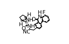 N#CC(Cc1ccc2c(c1)c(=O)[nH]c1c(F)cccc12)NC(=O)[C@H]1N[C@@H]2CC[C@H]1C2